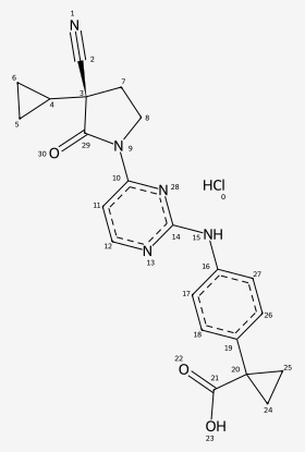 Cl.N#C[C@@]1(C2CC2)CCN(c2ccnc(Nc3ccc(C4(C(=O)O)CC4)cc3)n2)C1=O